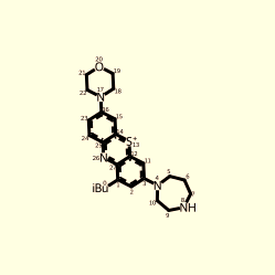 CCC(C)c1cc(N2CCCNCC2)cc2[s+]c3cc(N4CCOCC4)ccc3nc12